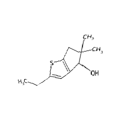 CCc1cc2c(s1)CC(C)(C)C2O